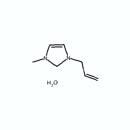 C=CCN1C=CN(C)C1.O